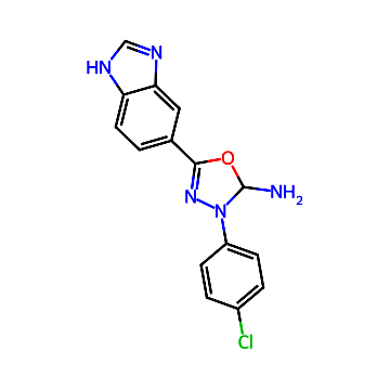 NC1OC(c2ccc3[nH]cnc3c2)=NN1c1ccc(Cl)cc1